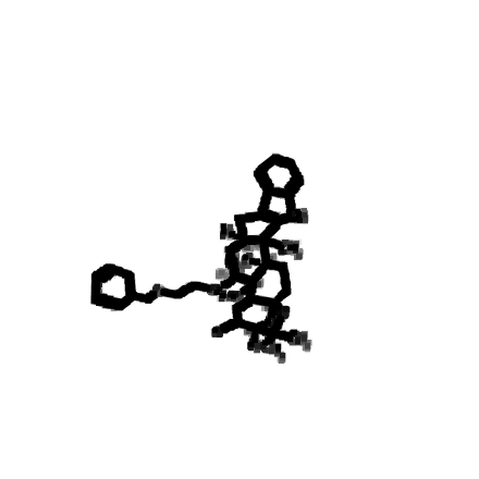 CC1(C)O[C@@]23CC[C@]4(C)[C@@]5(C)c6[nH]c7ccccc7c6C[C@@H]5C[C@H](OCCOCc5ccccc5)[C@@]4(O)C2=CC(=O)[C@@H]1O3